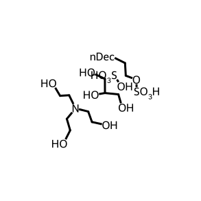 CCCCCCCCCCCCOS(=O)(=O)O.O=S(=O)(O)O.OCC(O)CO.OCCN(CCO)CCO